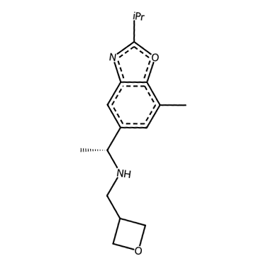 Cc1cc([C@@H](C)NCC2COC2)cc2nc(C(C)C)oc12